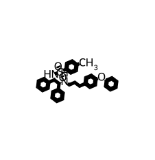 Cc1ccc(S(=O)(=O)N[C@H](c2ccccc2)[C@H](NCCCc2ccc(Oc3ccccc3)cc2)c2ccccc2)cc1